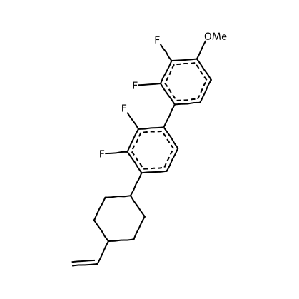 C=CC1CCC(c2ccc(-c3ccc(OC)c(F)c3F)c(F)c2F)CC1